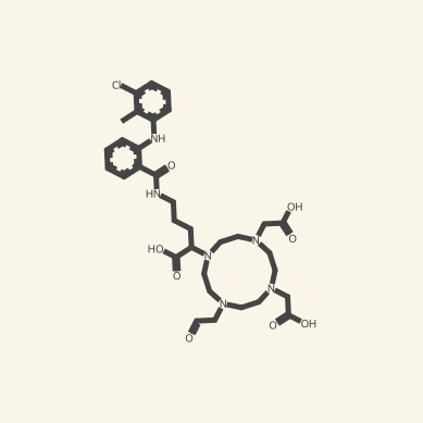 Cc1c(Cl)cccc1Nc1ccccc1C(=O)NCCCC(C(=O)O)N1CCN(CC=O)CCN(CC(=O)O)CCN(CC(=O)O)CC1